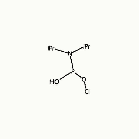 CC(C)N(C(C)C)P(O)OCl